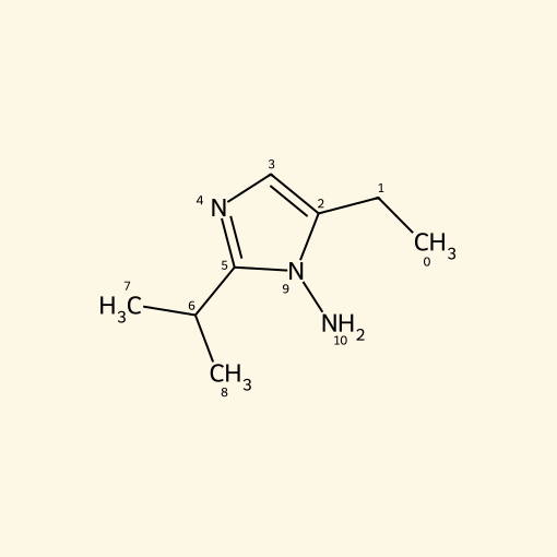 CCc1cnc(C(C)C)n1N